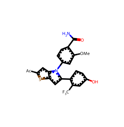 COc1cc(-n2c(-c3ccc(O)cc3C(F)(F)F)cc3sc(C(C)=O)cc32)ccc1C(N)=O